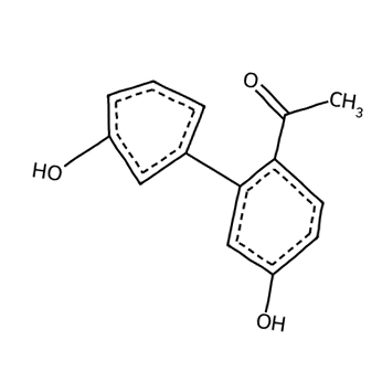 CC(=O)c1ccc(O)cc1-c1cccc(O)c1